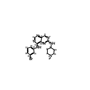 CN1CCC(Nc2ncc3ncnc(Nc4cccc(Br)c4)c3n2)CC1